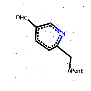 CCCCCCc1ccc(C=O)cn1